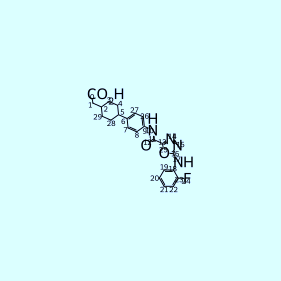 O=C(O)CC1CCC(c2ccc(NC(=O)c3nnc(Nc4ccccc4F)o3)cc2)CC1